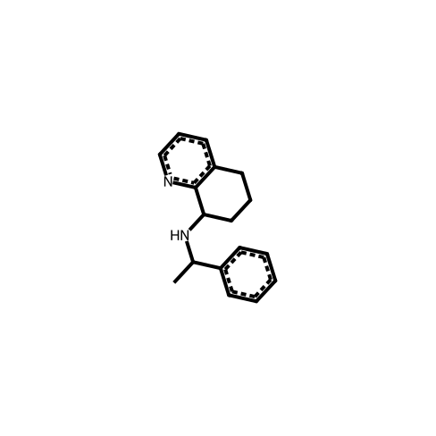 CC(NC1CCCc2cccnc21)c1ccccc1